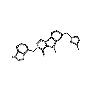 Cn1ccc(Cc2ccc3c4cnn(Cc5cccc6[nH]ncc56)c(=O)c4n(C)c3c2)n1